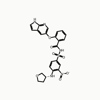 O=C(NS(=O)(=O)c1ccc(N[C@@H]2CCOC2)c([N+](=O)[O-])c1)c1ccccc1Oc1cnc2[nH]ccc2c1